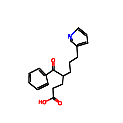 O=C(O)CCC(CCCc1cccnc1)C(=O)c1ccccc1